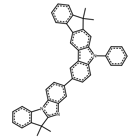 CC1(C)c2ccccc2-c2cc3c4cc(-c5ccc6c(c5)nc5n6-c6ccccc6C5(C)C)ccc4n(-c4ccccc4)c3cc21